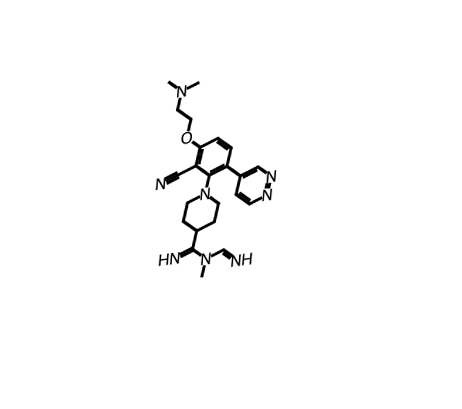 CN(C)CCOc1ccc(-c2ccnnc2)c(N2CCC(C(=N)N(C)C=N)CC2)c1C#N